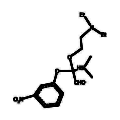 CCN(CC)CCOC([C]=O)(Oc1cccc([N+](=O)[O-])c1)[SiH](C)C